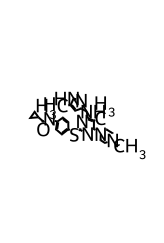 Cc1cc(Nc2nc(Sc3ccc(NC(=O)C4CC4)cc3)nc(N3CCN(C)CC3)c2C)n[nH]1